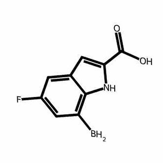 Bc1cc(F)cc2cc(C(=O)O)[nH]c12